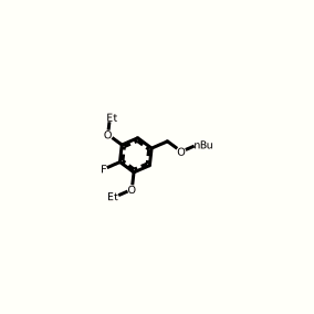 CCCCOCc1cc(OCC)c(F)c(OCC)c1